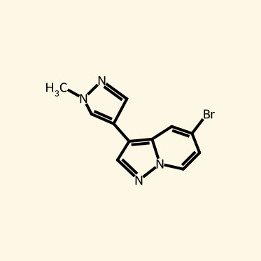 Cn1cc(-c2cnn3ccc(Br)cc23)cn1